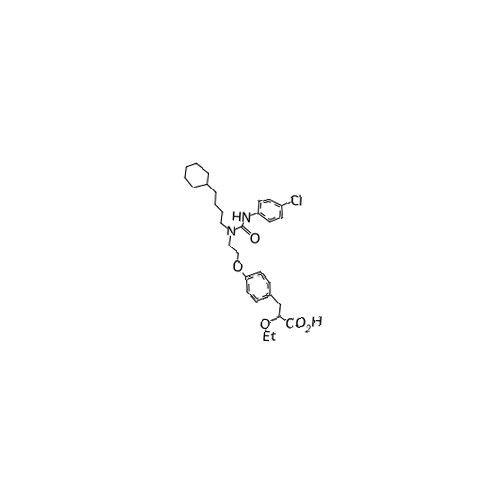 CCOC(Cc1ccc(OCCN(CCCCC2CCCCC2)C(=O)Nc2ccc(Cl)cc2)cc1)C(=O)O